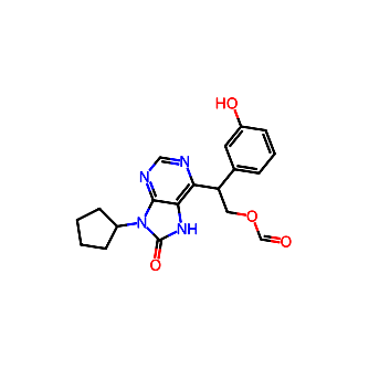 O=COCC(c1cccc(O)c1)c1ncnc2c1[nH]c(=O)n2C1CCCC1